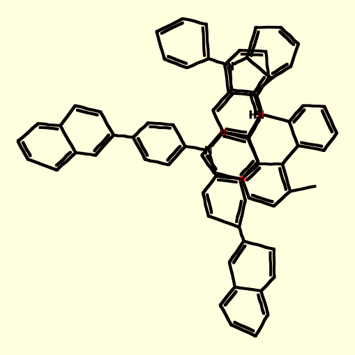 Cc1cccc(-c2cc3c4ccccc4n(-c4ccccc4)c3cc2N(c2ccc(-c3ccc4ccccc4c3)cc2)c2ccc(-c3ccc4ccccc4c3)cc2)c1-c1ccccc1[SiH](c1ccccc1)c1ccccc1